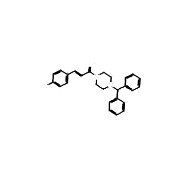 Nc1ccc(C=CC(=O)N2CCN(C(c3ccccc3)c3ccccc3)CC2)cc1